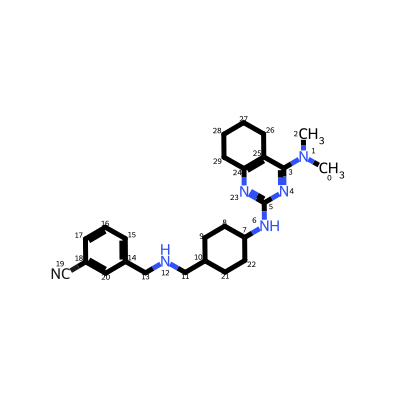 CN(C)c1nc(NC2CCC(CNCc3cccc(C#N)c3)CC2)nc2c1CCCC2